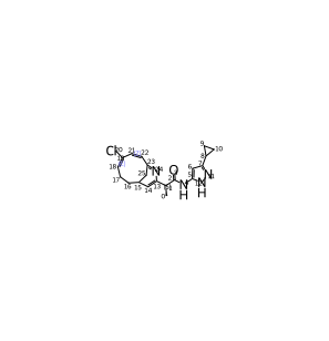 C[C@H](C(=O)Nc1cc(C2CC2)n[nH]1)C1=CC2CC/C=C(Cl)\C=C/C(=N1)C2